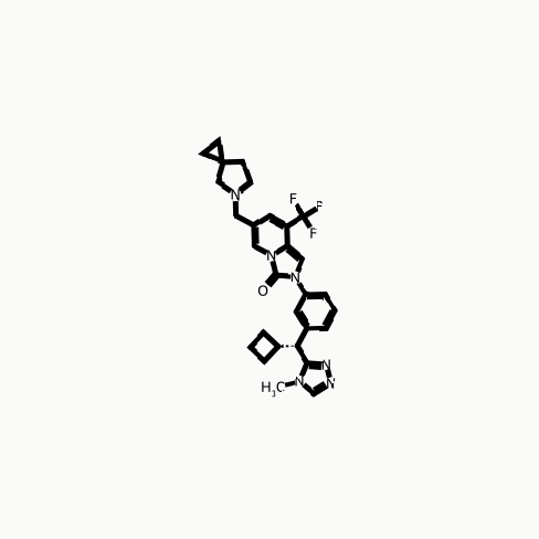 Cn1cnnc1[C@@H](c1cccc(-n2cc3c(C(F)(F)F)cc(CN4CCC5(CC5)C4)cn3c2=O)c1)C1CCC1